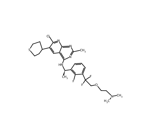 Cc1nc(N[C@H](C)c2cccc(C(F)(F)COCCN(C)C)c2F)c2cc(C3CCSCC3)c(Cl)nc2n1